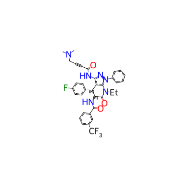 CCN1C(=O)[C@H](NC(=O)c2cccc(C(F)(F)F)c2)[C@H](c2ccc(F)cc2)c2c(NC(=O)C#CCN(C)C)nn(-c3ccccc3)c21